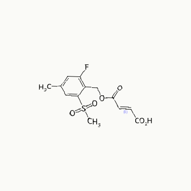 Cc1cc(F)c(COC(=O)/C=C/C(=O)O)c(S(C)(=O)=O)c1